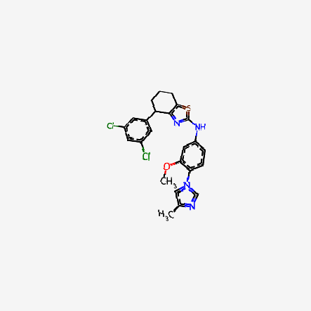 COc1cc(Nc2nc3c(s2)CCCC3c2cc(Cl)cc(Cl)c2)ccc1-n1cnc(C)c1